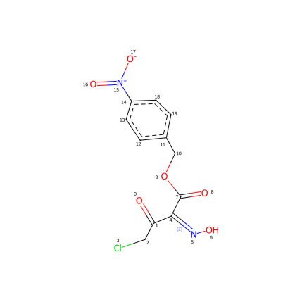 O=C(CCl)/C(=N/O)C(=O)OCc1ccc([N+](=O)[O-])cc1